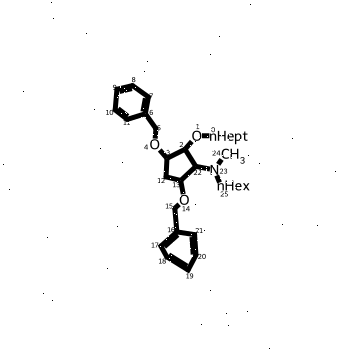 CCCCCCCOC1C(OCc2ccccc2)CC(OCc2ccccc2)C1N(C)CCCCCC